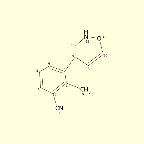 Cc1c(C#N)cccc1C1C=CONC1